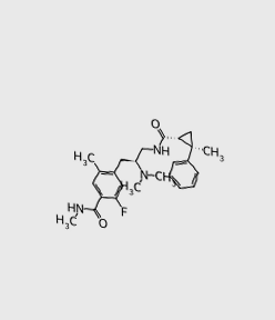 CNC(=O)c1cc(C)c(C[C@@H](CNC(=O)[C@@H]2C[C@@]2(C)c2ccccc2)N(C)C)cc1F